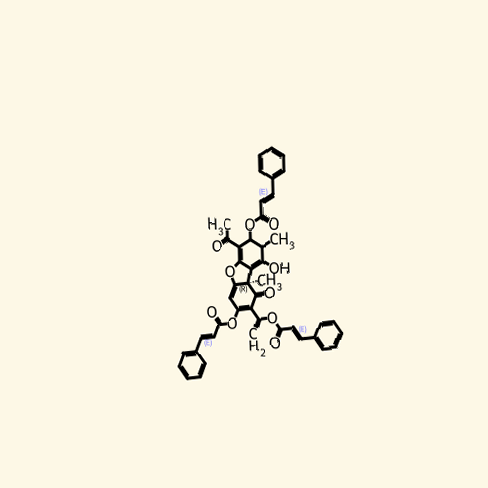 C=C(OC(=O)/C=C/c1ccccc1)C1=C(OC(=O)/C=C/c2ccccc2)C=C2OC3=C(C(C)=O)C(OC(=O)/C=C/c4ccccc4)C(C)C(O)=C3[C@@]2(C)C1=O